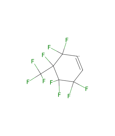 FC(F)(F)C1(F)C(F)(F)[C]=CC(F)(F)C1(F)F